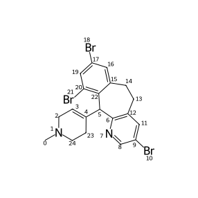 CN1CC=C(C2c3ncc(Br)cc3CCc3cc(Br)cc(Br)c32)CC1